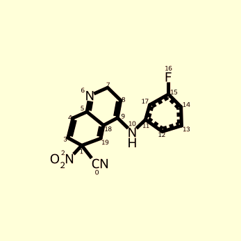 N#CC1([N+](=O)[O-])C=CC2=NCC=C(Nc3cccc(F)c3)C2=C1